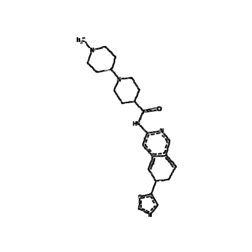 CN1CCC(N2CCC(C(=O)Nc3cc4c(cn3)=CCC(c3cnco3)C=4)CC2)CC1